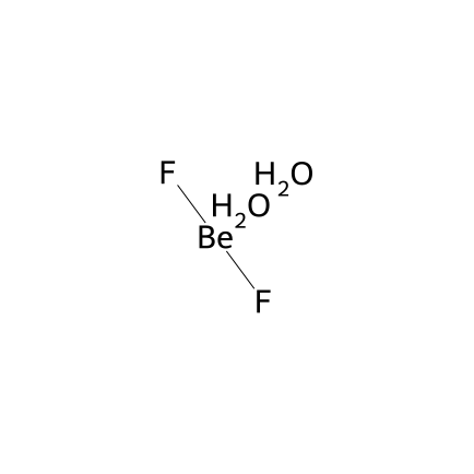 O.O.[F][Be][F]